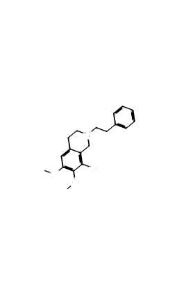 COc1cc2c(c(Br)c1OC)CN(CCc1ccccc1)CC2